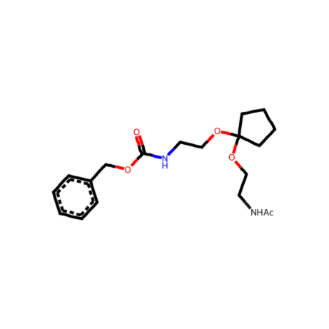 CC(=O)NCCOC1(OCCNC(=O)OCc2ccccc2)CCCC1